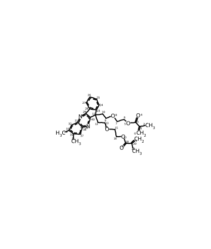 C=C(C)C(=O)OCCOCCC1(CCOCCOC(=O)C(=C)C)c2ccccc2-c2nc3cc(C)c(C)cc3nc21